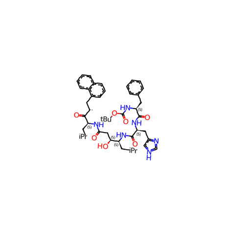 CC(C)C[C@H](NC(=O)C[C@H](O)[C@H](CC(C)C)NC(=O)[C@H](Cc1c[nH]cn1)NC(=O)[C@H](Cc1ccccc1)NC(=O)OC(C)(C)C)C(=O)[CH]Cc1cccc2ccccc12